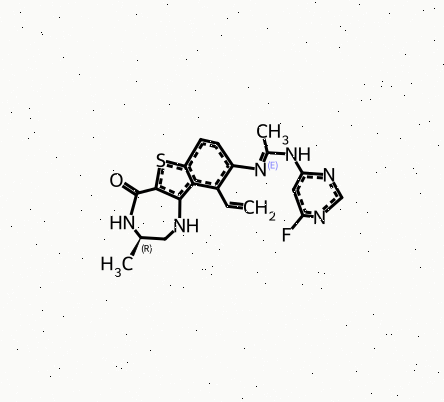 C=Cc1c(/N=C(\C)Nc2cc(F)ncn2)ccc2sc3c(c12)NC[C@@H](C)NC3=O